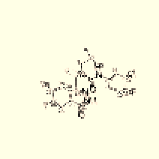 CC(C)CN(C(=O)Nc1ccc(F)c(Cl)c1)[C@@H](C)c1n[nH]c(=O)c2cc(F)c(F)cc12